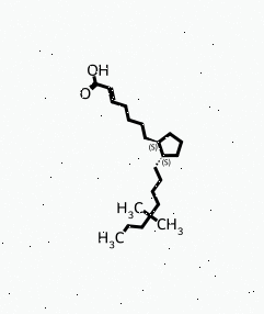 CCCC(C)(C)CCCC[C@H]1CCC[C@@H]1CCCCC=CC(=O)O